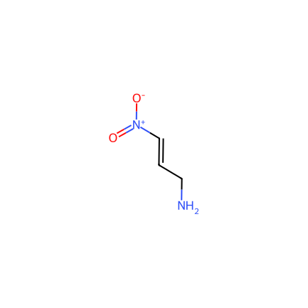 NCC=C[N+](=O)[O-]